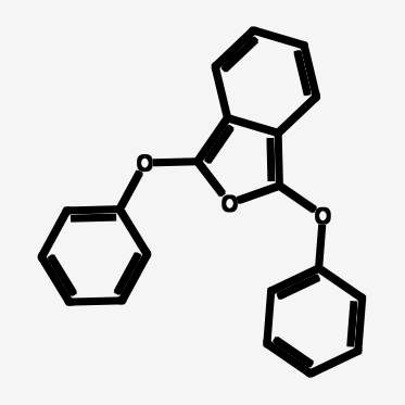 c1ccc(Oc2oc(Oc3ccccc3)c3ccccc23)cc1